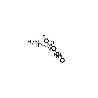 COC(=O)CCCCc1nc2cc(-c3cn(Cc4ccccc4)nn3)ccc2c(=O)n1-c1ccc(F)cc1